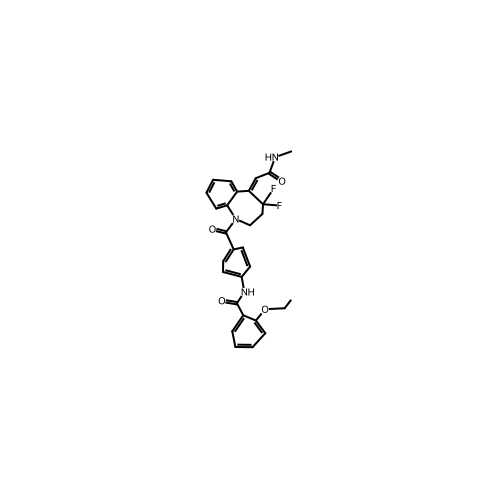 CCOc1ccccc1C(=O)Nc1ccc(C(=O)N2CCC(F)(F)/C(=C\C(=O)NC)c3ccccc32)cc1